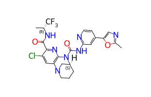 Cc1ncc(-c2ccnc(NC(=O)N3c4nc(C(=O)N[C@H](C)C(F)(F)F)c(Cl)cc4N4CCC[C@H]3C4)c2)o1